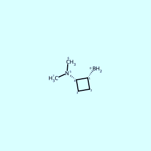 B[C@@H]1CC[C@@H]1N(C)C